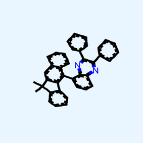 CC1(C)c2ccccc2-c2c1cc1ccccc1c2-c1cccc2nc(-c3ccccc3)c(-c3ccccc3)nc12